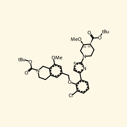 COc1cc(COc2c(Cl)cccc2-c2csc(N3CC[C@H](C(=O)OC(C)(C)C)[C@H](OC)C3)n2)cc2c1CN(C(=O)OC(C)(C)C)CC2